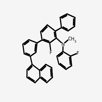 CN(c1ccccc1F)c1c(-c2ccccc2)ccc(-c2cccc(-c3cccc4ccccc34)c2)c1F